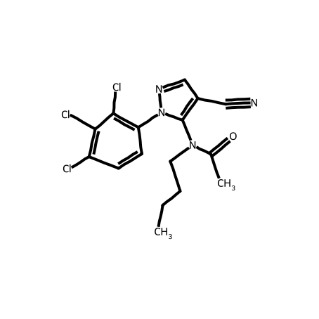 CCCCN(C(C)=O)c1c(C#N)cnn1-c1ccc(Cl)c(Cl)c1Cl